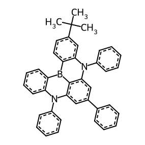 CC(C)(C)c1ccc2c(c1)N(c1ccccc1)c1cc(-c3ccccc3)cc3c1B2c1ccccc1N3c1ccccc1